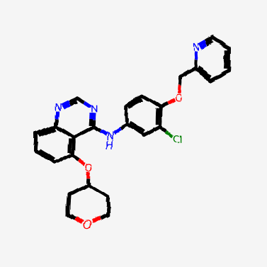 Clc1cc(Nc2ncnc3cccc(OC4CCOCC4)c23)ccc1OCc1ccccn1